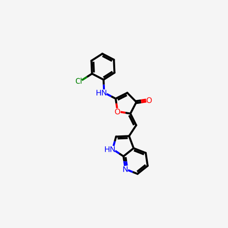 O=C1C=C(Nc2ccccc2Cl)OC1=Cc1c[nH]c2ncccc12